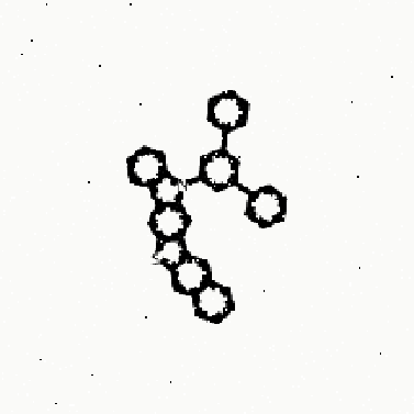 c1ccc(-c2cc(-c3ccccc3)cc(-n3c4ccccc4c4cc5sc6cc7ccccc7cc6c5cc43)c2)cc1